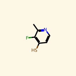 Cc1nccc(S)c1F